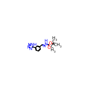 CC(C)(C)OC(=O)NN=Cc1cccc(-c2nnn[nH]2)c1